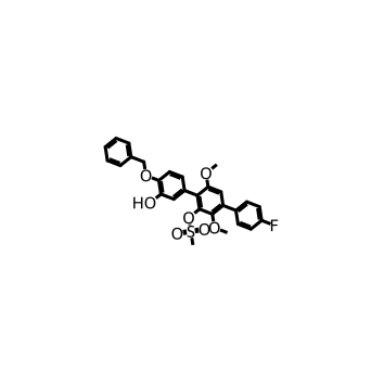 COc1cc(-c2ccc(F)cc2)c(OC)c(OS(C)(=O)=O)c1-c1ccc(OCc2ccccc2)c(O)c1